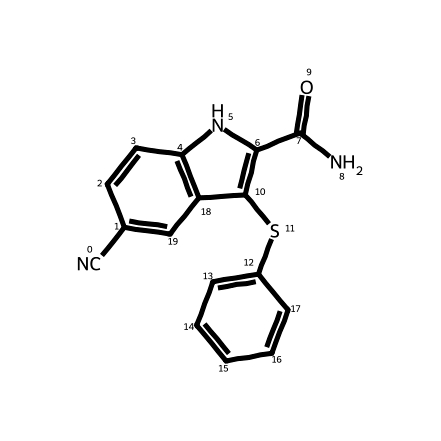 N#Cc1ccc2[nH]c(C(N)=O)c(Sc3ccccc3)c2c1